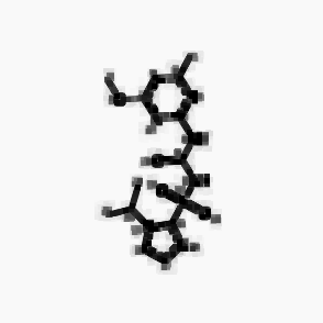 COc1cc(C)nc(NC(=O)NS(=O)(=O)c2nccn2C(C)C)n1